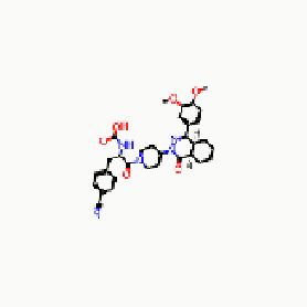 COc1ccc(C2=NN(C3CCN(C(=O)[C@@H](Cc4ccc(C#N)cc4)NC(=O)O)CC3)C(=O)[C@@H]3CCCC[C@H]23)cc1OC